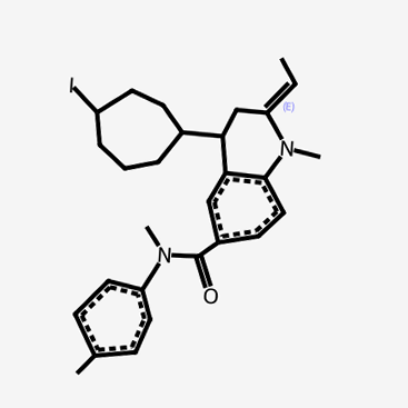 C/C=C1\CC(C2CCCC(I)CC2)c2cc(C(=O)N(C)c3ccc(C)cc3)ccc2N1C